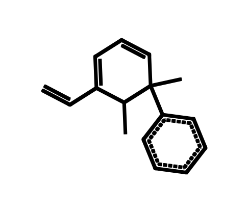 C=CC1=CC=CC(C)(c2ccccc2)C1C